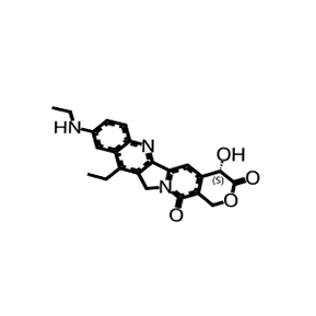 CCNc1ccc2nc3c(c(CC)c2c1)Cn1c-3cc2c(c1=O)COC(=O)[C@H]2O